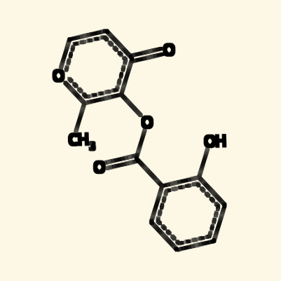 Cc1occc(=O)c1OC(=O)c1ccccc1O